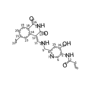 C=CC(=O)Nc1cnc(CNC=C2C(=O)NC(=O)c3ccc(I)cc32)cc1O